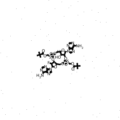 CC(C)(C)C(=O)OCSP1(=O)OC[C@H]2O[C@@H](n3cnc4c(N)ncnc43)C(OP(=O)(SCOC(=O)C(C)(C)C)OCC3O[C@@H](n4cnc5c(N)ncnc54)C(F)C3O1)C2O